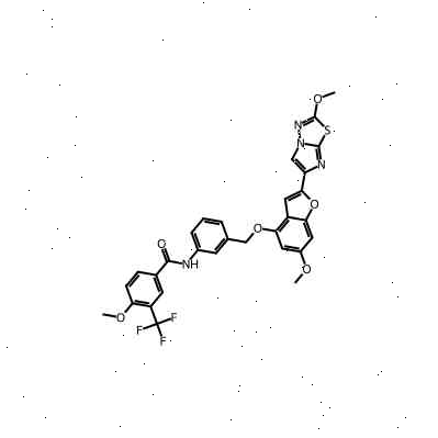 COc1cc(OCc2cccc(NC(=O)c3ccc(OC)c(C(F)(F)F)c3)c2)c2cc(-c3cn4nc(OC)sc4n3)oc2c1